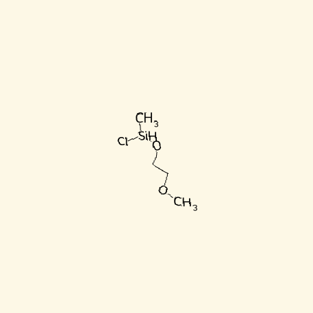 COCCO[SiH](C)Cl